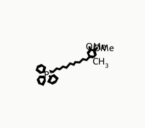 COc1cc(C)c(CCCCCCCCCCCC[P+](c2ccccc2)(c2ccccc2)c2ccccc2)cc1OC